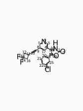 O=C1N[C@H](c2cncc(C#CC3CC(F)(F)C3)c2)[C@@H](c2cccc(Cl)c2)O1